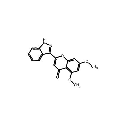 COc1cc(OC)c2c(=O)cc(-c3n[nH]c4ccccc34)oc2c1